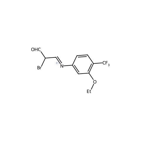 CCOc1cc(/N=C/C(Br)C=O)ccc1C(F)(F)F